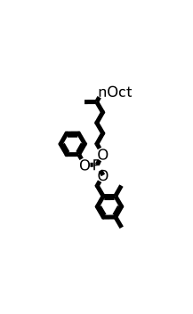 CCCCCCCCC(C)CCCCOP(OCc1ccc(C)cc1C)Oc1ccccc1